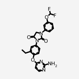 CCc1cc(N2C(=O)CN(c3cccc(OC(F)F)c3)C2=O)ccc1Oc1ccnc(N)n1